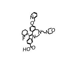 O=C(O)c1ccc2c([C@H]3CCCC[C@@H]3F)c3n(c2c1)CCN(CCN1CCOCC1)Cc1cc(OCc2ccccn2)ccc1-3